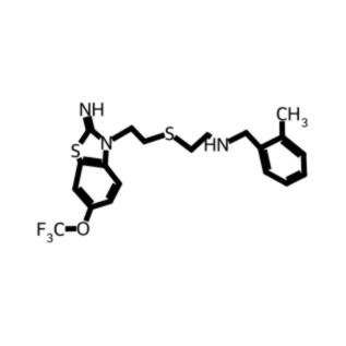 Cc1ccccc1CNCCSCCn1c(=N)sc2cc(OC(F)(F)F)ccc21